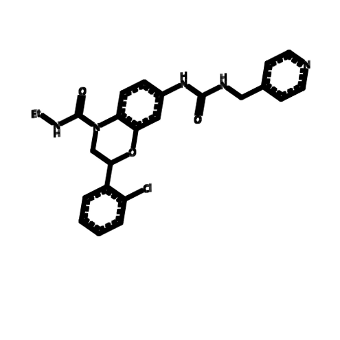 CCNC(=O)N1CC(c2ccccc2Cl)Oc2cc(NC(=O)NCc3ccncc3)ccc21